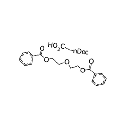 CCCCCCCCCCCC(=O)O.O=C(OCCOCCOC(=O)c1ccccc1)c1ccccc1